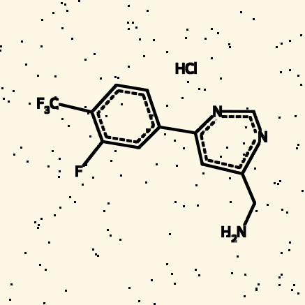 Cl.NCc1cc(-c2ccc(C(F)(F)F)c(F)c2)ncn1